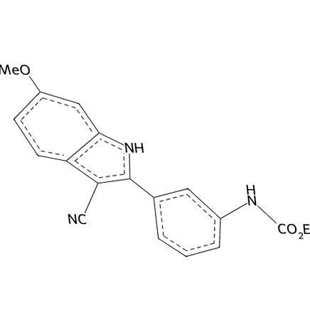 CCOC(=O)Nc1cccc(-c2[nH]c3cc(OC)ccc3c2C#N)c1